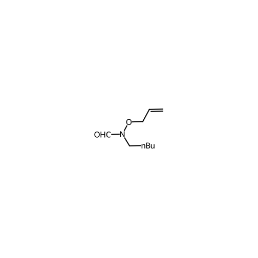 C=CCON(C=O)CCCCC